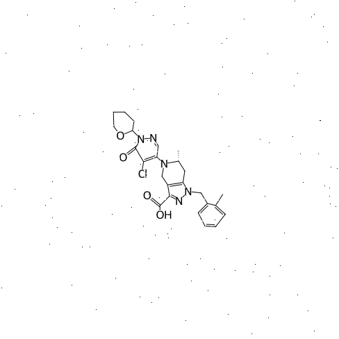 Cc1ccccc1Cn1nc(C(=O)O)c2c1C[C@@H](C)N(c1cnn(C3CCCCO3)c(=O)c1Cl)C2